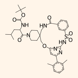 Cc1cccc(C)c1-c1cc2nc(n1)NS(=O)(=O)c1cccc(c1)C(=O)NCC1(CCN(C(=O)C(CC(C)C)NC(=O)OC(C)(C)C)CC1)CO2